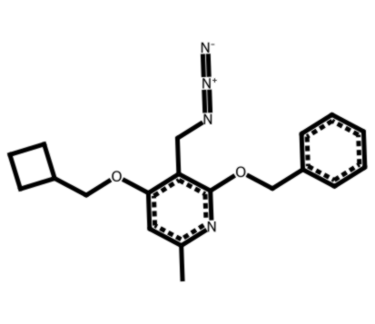 Cc1cc(OCC2CCC2)c(CN=[N+]=[N-])c(OCc2ccccc2)n1